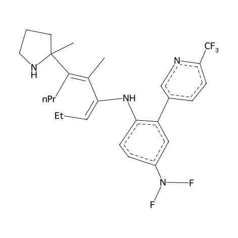 CC/C=C(Nc1ccc(N(F)F)cc1-c1ccc(C(F)(F)F)nc1)\C(C)=C(/CCC)C1(C)CCCN1